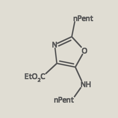 CCCCCNc1oc(CCCCC)nc1C(=O)OCC